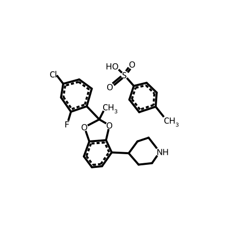 CC1(c2ccc(Cl)cc2F)Oc2cccc(C3CCNCC3)c2O1.Cc1ccc(S(=O)(=O)O)cc1